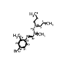 CCCN(CCC)SN(C)C=Nc1ccc(Br)cc1C